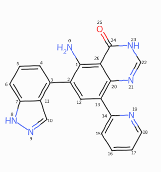 Nc1c(-c2cccc3[nH]ncc23)cc(-c2ccccn2)c2nc[nH]c(=O)c12